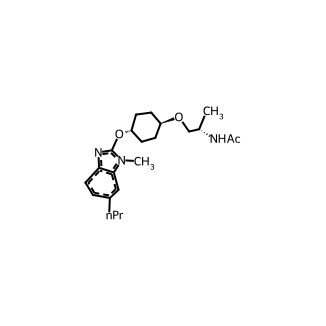 CCCc1ccc2nc(O[C@H]3CC[C@H](OC[C@H](C)NC(C)=O)CC3)n(C)c2c1